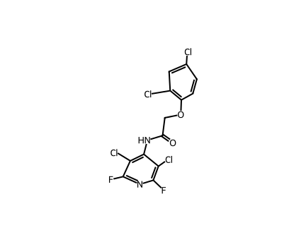 O=C(COc1ccc(Cl)cc1Cl)Nc1c(Cl)c(F)nc(F)c1Cl